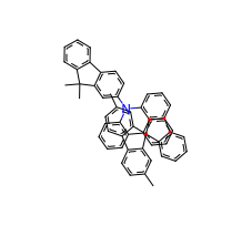 Cc1ccc2c(c1)C1(c3cc(C)ccc3-2)c2ccccc2-c2cccc(N(c3ccc4c(c3)C(C)(C)c3ccccc3-4)c3ccccc3-c3ccccc3)c21